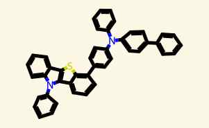 c1ccc(-c2ccc(N(c3ccccc3)c3ccc(-c4cccc5c4sc4c6ccccc6n(-c6ccccc6)c54)cc3)cc2)cc1